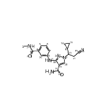 CNC(=O)c1cccc(Nc2nn(C(CC#N)C3CC3)cc2C(N)=O)c1